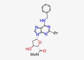 CNC(=O)[C@H]1O[C@@H](n2cnc3c(NCc4ccccc4)nc(C(C)C)nc32)C[C@@H]1O